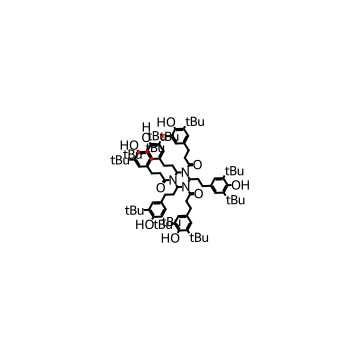 CC(C)(C)c1cc(CCC(=O)N2C(CCc3cc(C(C)(C)C)c(O)c(C(C)(C)C)c3)N(C(=O)CCc3cc(C(C)(C)C)c(O)c(C(C)(C)C)c3)C(CCc3cc(C(C)(C)C)c(O)c(C(C)(C)C)c3)N(C(=O)CCc3cc(C(C)(C)C)c(O)c(C(C)(C)C)c3)C2CCc2cc(C(C)(C)C)c(O)c(C(C)(C)C)c2)cc(C(C)(C)C)c1O